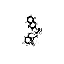 CCCS(=O)(=O)Nc1nc2ccccc2nc1OCc1ccc[n+]([O-])c1